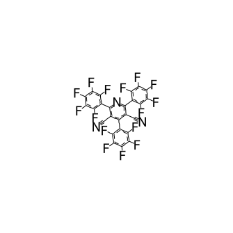 N#Cc1c(-c2c(F)c(F)c(F)c(F)c2F)nc(-c2c(F)c(F)c(F)c(F)c2F)c(C#N)c1-c1c(F)c(F)c(F)c(F)c1F